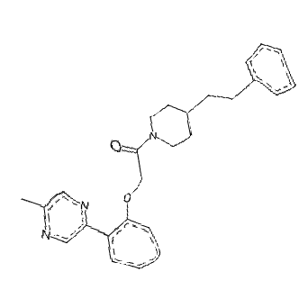 Cc1cnc(-c2ccccc2OCC(=O)N2CCC(CCc3ccccc3)CC2)cn1